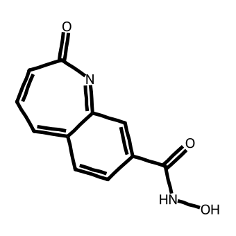 O=C(NO)c1ccc2cccc(=O)nc2c1